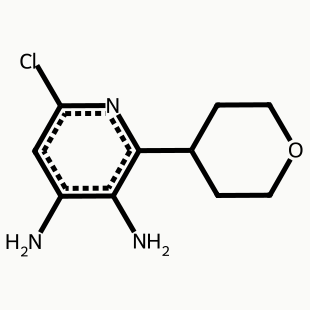 Nc1cc(Cl)nc(C2CCOCC2)c1N